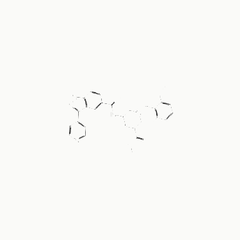 COC(=O)C1CC(NC(=O)c2ccc3[nH]nc(-c4ccncc4)c3c2)CN(Cc2c(F)cccc2OC)C1